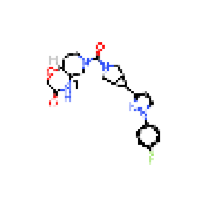 O=C1CO[C@H]2CCN(C(=O)N3CC4C(C3)C4c3ccn(-c4ccc(F)cc4)n3)C[C@H]2N1